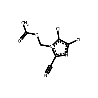 CC(=O)OCn1c(C#N)nc(Cl)c1Cl